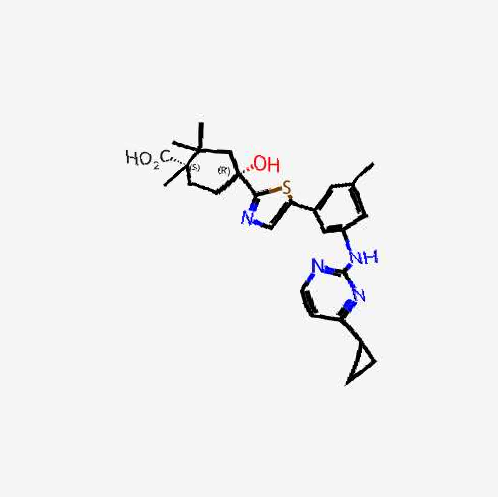 Cc1cc(Nc2nccc(C3CC3)n2)cc(-c2cnc([C@@]3(O)CC[C@](C)(C(=O)O)C(C)(C)C3)s2)c1